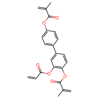 C=CC(=O)Oc1cc(-c2ccc(OC(=O)C(=C)C)cc2)ccc1OC(=O)C(=C)C